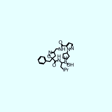 CC(C)CC(BO)NC(=O)C1(Cc2ccccc2)CC(CNC(=O)c2ccnn2C2CCCC2)=NO1